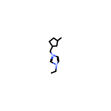 CCn1cc[n+](CC2CCC(C)C2)c1